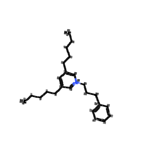 CCCCCc1cc(CCCCC)c[n+](CCCc2ccccc2)c1